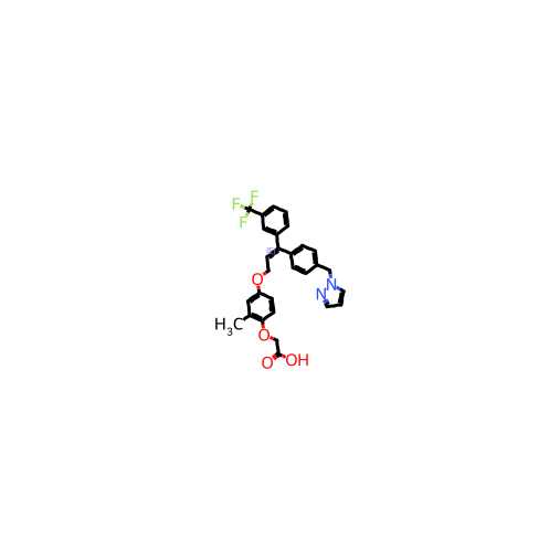 Cc1cc(OC/C=C(\c2ccc(Cn3cccn3)cc2)c2cccc(C(F)(F)F)c2)ccc1OCC(=O)O